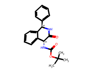 CC(C)(C)OC(=O)N[C@H]1C(=O)N[C@H](c2ccccc2)c2ccccc21